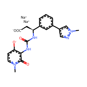 Cn1cc(-c2cccc([C@H](CC(=O)[O-])NC(=O)Nc3c([O-])ccn(C)c3=O)c2)cn1.[Na+].[Na+]